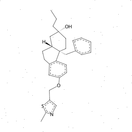 CCC[C@@]1(O)CC[C@@]2(Cc3ccccc3)c3ccc(OCc4cnc(C)s4)cc3CC[C@@H]2C1